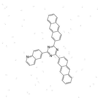 c1ccc2cc3cc(-c4nc(-c5ccc6cc7ccccc7cc6c5)nc(-c5ccc6ncccc6c5)n4)ccc3cc2c1